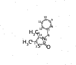 Cc1sc(=O)n(Cc2ccccc2)c1C